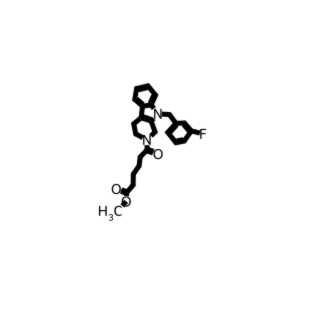 COC(=O)CCCCC(=O)N1CCc2c(n(Cc3cccc(F)c3)c3ccccc23)C1